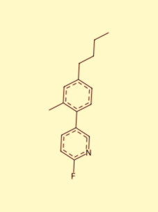 CCCCc1ccc(-c2ccc(F)nc2)c(C)c1